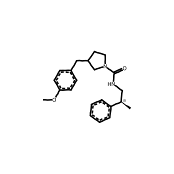 COc1ccc(CC2CCN(C(=O)NC[C@@H](C)c3ccccc3)C2)cc1